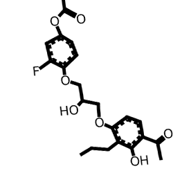 CCCc1c(OCC(O)COc2ccc(OC(C)=O)cc2F)ccc(C(C)=O)c1O